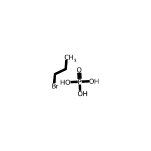 CCCBr.O=P(O)(O)O